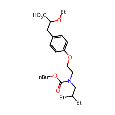 CCCCOC(=O)N(CCOc1ccc(CC(OCC)C(=O)O)cc1)CC(CC)CC